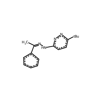 CC(=NNc1ccc(C(C)(C)C)nn1)c1ccccc1